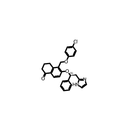 O=C1CCCc2c1ccc(O[C@@H](Cc1ncc[nH]1)c1ccccc1)c2COc1ccc(Cl)cc1